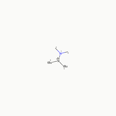 CN(C)[SiH](C(C)(C)C)C(C)(C)C